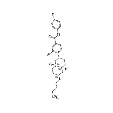 CCCCC[C@H]1CC[C@@H]2CC(c3ccc(C(=O)Oc4ccc(F)cc4)cc3F)CC[C@H]2C1